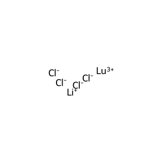 [Cl-].[Cl-].[Cl-].[Cl-].[Li+].[Lu+3]